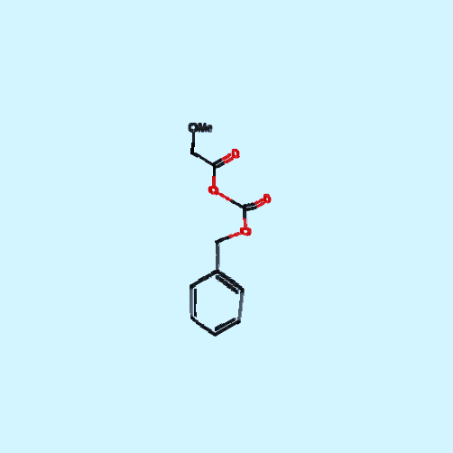 COCC(=O)OC(=O)OCc1ccccc1